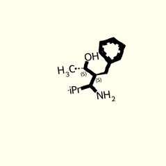 C[C](C)C(N)[C@H](Cc1ccccc1)[C@H](C)O